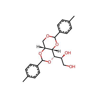 Cc1ccc(C2OC[C@H]3OC(c4ccc(C)cc4)O[C@@H]([C@@H](O)CO)[C@H]3O2)cc1